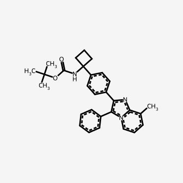 Cc1cccn2c(-c3ccccc3)c(-c3ccc(C4(NC(=O)OC(C)(C)C)CCC4)cc3)nc12